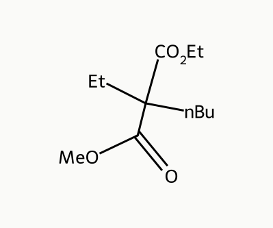 CCCCC(CC)(C(=O)OC)C(=O)OCC